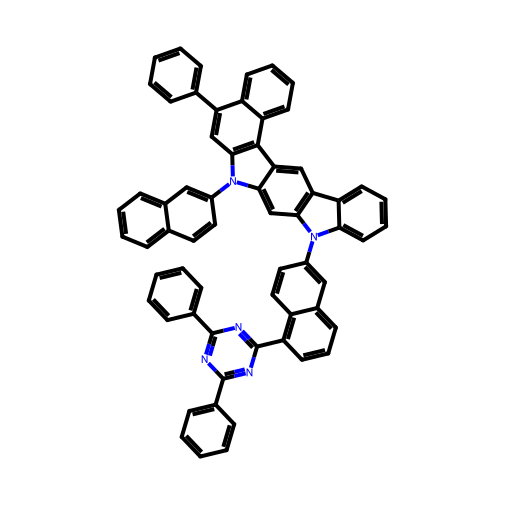 c1ccc(-c2nc(-c3ccccc3)nc(-c3cccc4cc(-n5c6ccccc6c6cc7c8c9ccccc9c(-c9ccccc9)cc8n(-c8ccc9ccccc9c8)c7cc65)ccc34)n2)cc1